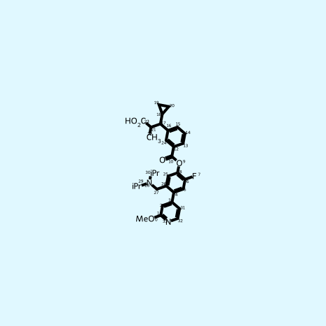 COc1cc(-c2cc(F)c(OC(=O)c3cccc(C(C4CC4)C(C)C(=O)O)c3)cc2CN(C(C)C)C(C)C)ccn1